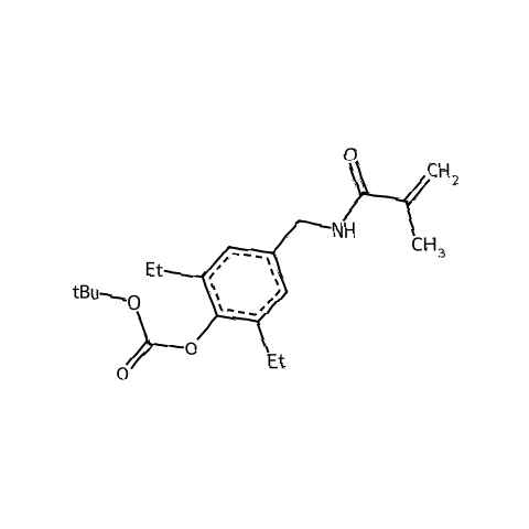 C=C(C)C(=O)NCc1cc(CC)c(OC(=O)OC(C)(C)C)c(CC)c1